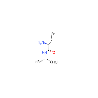 CCC[C@@H](C=O)NC(=O)[C@@H](N)CC(C)C